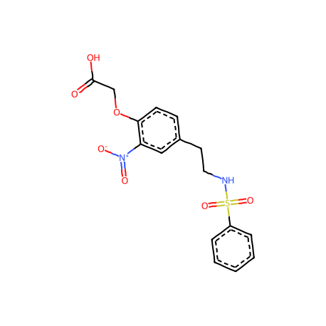 O=C(O)COc1ccc(CCNS(=O)(=O)c2ccccc2)cc1[N+](=O)[O-]